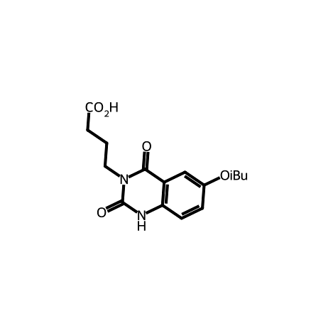 CC(C)COc1ccc2[nH]c(=O)n(CCCC(=O)O)c(=O)c2c1